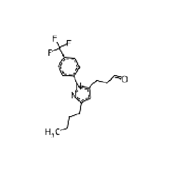 CCCCc1cc(CCC=O)n(-c2ccc(C(F)(F)F)cc2)n1